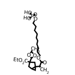 C=C(C(=O)OCCCCCCCCCCOP(=O)(O)O)C12CC1CC(C(=O)OCC)(C1OC(C)O1)C2